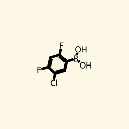 OB(O)c1cc(Cl)c(F)cc1F